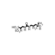 C[Si](C)(O)CCCNC(=O)NCC(S(=O)(=O)O)S(=O)(=O)O